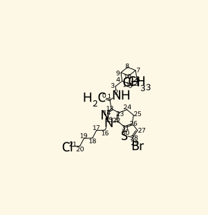 C=C(NCC1CCC2CC1C2(C)C)c1nn(CCCCCCl)c2c1CCc1cc(Br)sc1-2